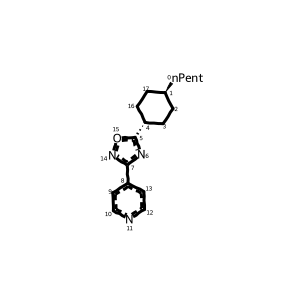 CCCCC[C@H]1CC[C@H](c2nc(-c3ccncc3)no2)CC1